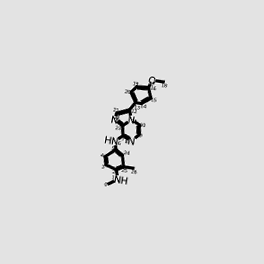 CNc1ccc(Nc2nccn3c(-c4ccc(OC)cc4)cnc23)cc1C